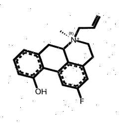 C=CC[N@@+]1(C)CCc2cc(F)cc3c2C1Cc1cccc(O)c1-3